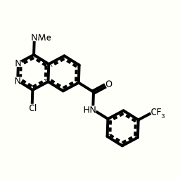 CNc1nnc(Cl)c2cc(C(=O)Nc3cccc(C(F)(F)F)c3)ccc12